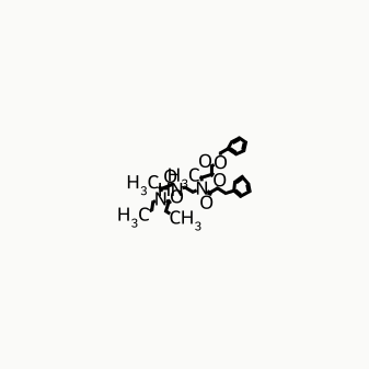 CCCN(C(=O)CC)C(C)C(=O)NCCN(C(=O)CCc1ccccc1)C(C)C(=O)C(=O)OCc1ccccc1